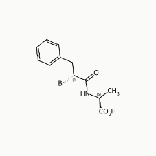 C[C@H](NC(=O)[C@H](Br)Cc1ccccc1)C(=O)O